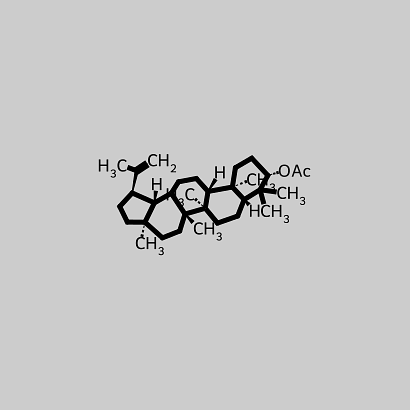 C=C(C)[C@@H]1CC[C@]2(C)CC[C@]3(C)C(CC[C@@H]4[C@@]5(C)CC[C@H](OC(C)=O)C(C)(C)[C@@H]5CC[C@]43C)[C@@H]12